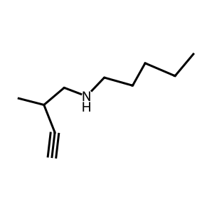 C#CC(C)CNCCCCC